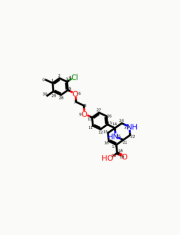 Cc1cc(Cl)c(OCCOc2ccc(C34CC=C(C(=O)O)C(CNC3)N4)cc2)cc1C